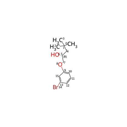 CC(C)(C)[CH][C@@H](O)COc1cccc(Br)c1